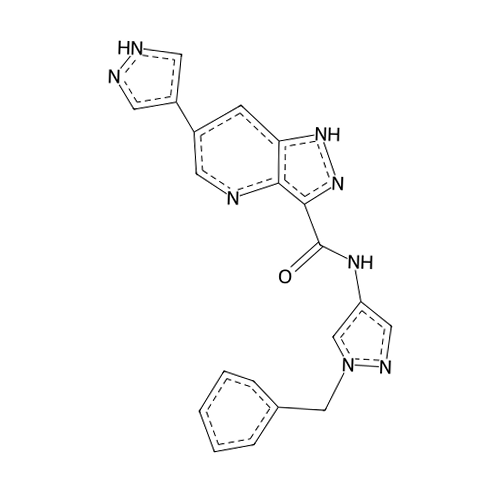 O=C(Nc1cnn(Cc2ccccc2)c1)c1n[nH]c2cc(-c3cn[nH]c3)cnc12